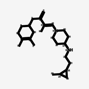 C=C(CC1CCC(C)=C(C)C1)/C(C)=C/N1CCC(NCCC2CC2C)CC1